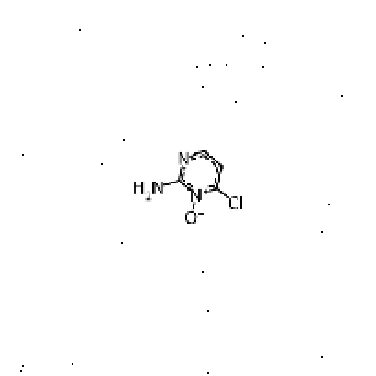 Nc1nccc(Cl)[n+]1[O-]